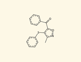 Cc1noc(C(=O)c2ccccc2)c1Sc1ccccc1